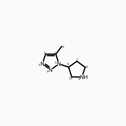 Cc1cnnn1C1CCNC1